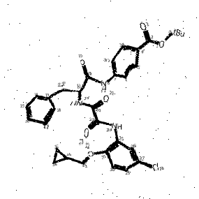 CC(C)(C)OC(=O)c1ccc(NC(=O)[C@H](Cc2ccccc2)NC(=O)C(=O)Nc2cc(Cl)ccc2OCC2CC2)cc1